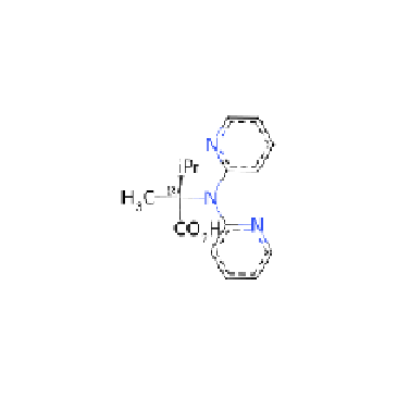 CC(C)[C@](C)(C(=O)O)N(c1ccccn1)c1ccccn1